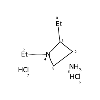 CCC1CCN1CC.Cl.Cl.N